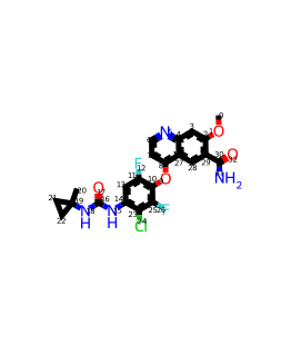 COc1cc2nccc(Oc3c(F)cc(NC(=O)NC4(C)CC4)c(Cl)c3F)c2cc1C(N)=O